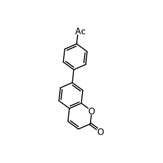 CC(=O)c1ccc(-c2ccc3ccc(=O)oc3c2)cc1